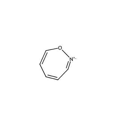 C1=CC=[N+]OC=C1